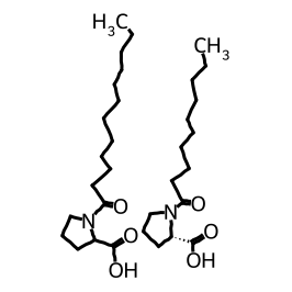 CCCCCCCCCC(=O)N1CCC[C@H]1C(=O)O.CCCCCCCCCCCC(=O)N1CCCC1C(=O)O